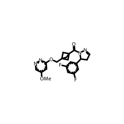 COc1cnnc(OCC23CC(C(=O)N4N=CCC4c4cc(F)cc(F)c4)(C2)C3)c1